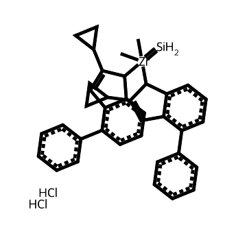 Cl.Cl.[CH3][Zr]([CH3])(=[SiH2])([CH]1C(C2CC2)=Cc2c(-c3ccccc3)cccc21)[CH]1C(C2CC2)=Cc2c(-c3ccccc3)cccc21